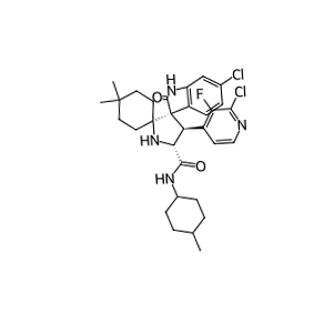 CC1CCC(NC(=O)[C@@H]2NC3(CCC(C)(C)CC3)[C@@]3(C(=O)Nc4cc(Cl)ccc43)[C@H]2c2ccnc(Cl)c2F)CC1